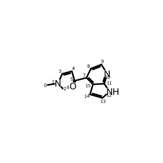 CN(C)/C=C\C(=O)c1ccnc2[nH]ccc12